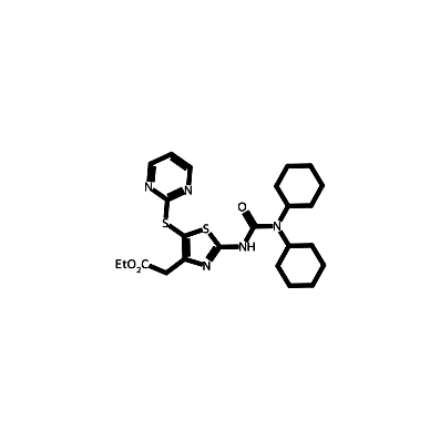 CCOC(=O)Cc1nc(NC(=O)N(C2CCCCC2)C2CCCCC2)sc1Sc1ncccn1